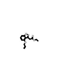 C=CCOc1cccc2onc(CC(=O)OCC)c12